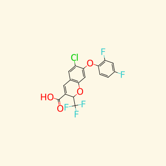 O=C(O)C1=Cc2cc(Cl)c(Oc3ccc(F)cc3F)cc2OC1C(F)(F)F